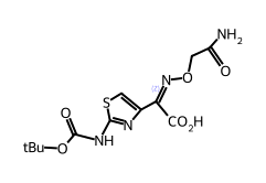 CC(C)(C)OC(=O)Nc1nc(/C(=N/OCC(N)=O)C(=O)O)cs1